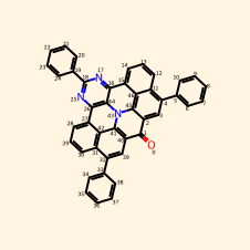 O=c1c2cc(-c3ccccc3)c3cccc4c5nc(-c6ccccc6)nc6c7cccc8c(-c9ccccc9)cc1c(c87)n(c56)c2c34